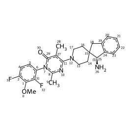 COc1c(F)ccc(-n2c(C)nc(N3CCC4(CC3)Cc3ccccc3[C@H]4N)c(C)c2=O)c1F